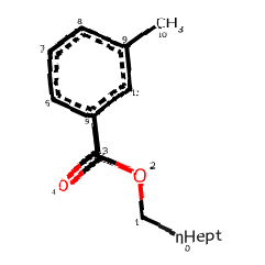 CCCCCCCCOC(=O)c1cccc(C)c1